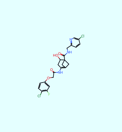 O=C(COc1ccc(Cl)c(F)c1)NC1=C2CC(C(=O)NCc3ccc(Cl)cn3)(C2)C(O)C1